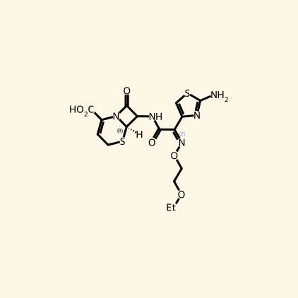 CCOCCO/N=C(\C(=O)NC1C(=O)N2C(C(=O)O)=CCS[C@H]12)c1csc(N)n1